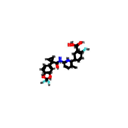 Cc1ccc(NC(=O)C2(c3ccc4c(c3)OC(F)(F)O4)CC2)nc1-c1ccc(F)c(C(=O)O)c1